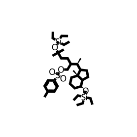 CC[Si](CC)(CC)O[C@H]1CCC[C@]2(C)C([C@H](C)C(CCC(C)(C)O[Si](CC)(CC)CC)COS(=O)(=O)c3ccc(C)cc3)CCC12